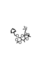 CC(=O)OC1C(COCc2ccccc2)OC(OCC[Si](C)(C)C)C(OC(C)=O)C1C